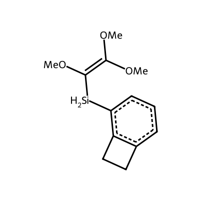 COC(OC)=C(OC)[SiH2]c1cccc2c1CC2